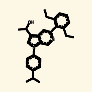 CCc1cccc(CC)c1-c1cc2c(C(C)O)cn(-c3ccc(C(C)C)cc3)c2cn1